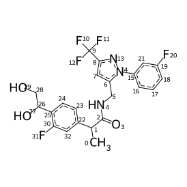 CC(C(=O)NCc1cc(C(F)(F)F)nn1-c1cccc(F)c1)c1ccc(C(O)CO)c(F)c1